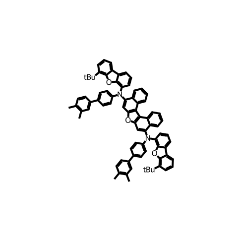 Cc1ccc(-c2ccc(N(c3cc4oc5cc(N(c6ccc(-c7ccc(C)c(C)c7)cc6)c6cccc7c6oc6c(C(C)(C)C)cccc67)c6ccccc6c5c4c4ccccc34)c3cccc4c3oc3c(C(C)(C)C)cccc34)cc2)cc1C